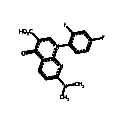 CN(C)c1ccc2c(=O)c(C(=O)O)cn(-c3ccc(F)cc3F)c2n1